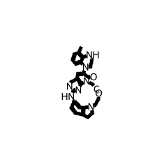 Cc1cccc2c1NCCN2c1cc2cnc3nc2n(c1=O)CCOCCN1CCc2ccc(cc21)N3